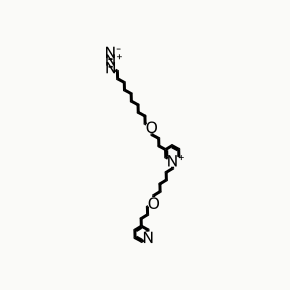 [N-]=[N+]=NCCCCCCCCCCOCCCc1ccc[n+](CCCCCCOCCCc2cccnc2)c1